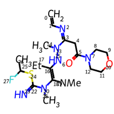 C=C/N=C(/CC(=O)N1CCOCC1)N(C)N/C(CC)=C(\NC)N(C)C(=N)SC(C)F